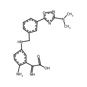 CN(C)c1noc(-c2cccc(CNc3ccc(N)c(C(=N)C(=O)O)c3)c2)n1